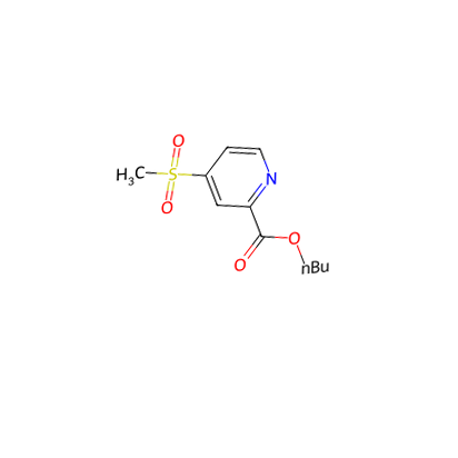 CCCCOC(=O)c1cc(S(C)(=O)=O)ccn1